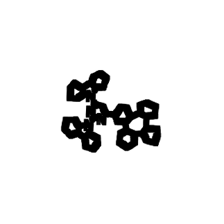 c1ccc2c(c1)-c1ccccc1-c1ccc(-c3cc(-n4c5ccccc5c5ccccc54)nc(-n4c5ccccc5c5ccccc54)n3)cc1-c1ccccc1-2